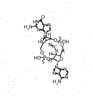 [N-]=[N+]=N[C@H]1[C@H]2OP(O)(=S)OC[C@H]3O[C@@H](n4cnc5c(=O)[nH]c(N)nc54)[C@H](OP(O)(=S)OC[C@H]1O[C@H]2n1cnc2c(N)ncnc21)[C@@H]3F